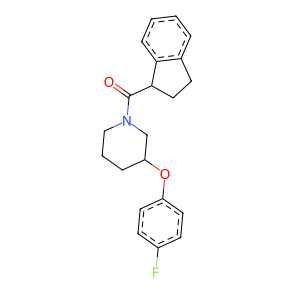 O=C(C1CCc2ccccc21)N1CCCC(Oc2ccc(F)cc2)C1